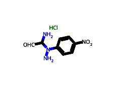 Cl.NC(C=O)N(N)c1ccc([N+](=O)[O-])cc1